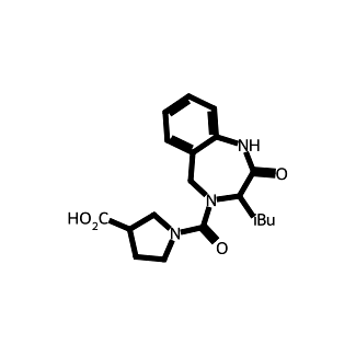 CCC(C)C1C(=O)Nc2ccccc2CN1C(=O)N1CCC(C(=O)O)C1